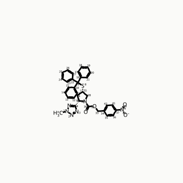 Cn1nnc([C@@H]2C[C@H](SC(c3ccccc3)(c3ccccc3)c3ccccc3)CN2C(=O)OCc2ccc([N+](=O)[O-])cc2)n1